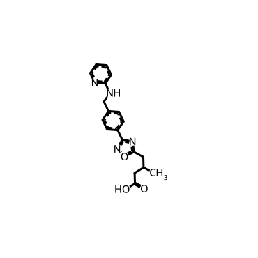 CC(CC(=O)O)Cc1nc(-c2ccc(CNc3ccccn3)cc2)no1